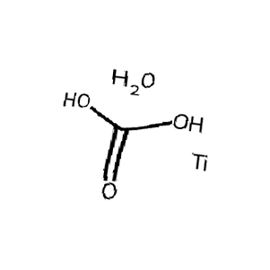 O.O=C(O)O.[Ti]